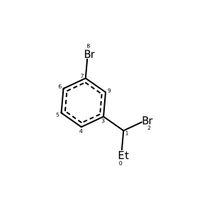 [CH2]CC(Br)c1cccc(Br)c1